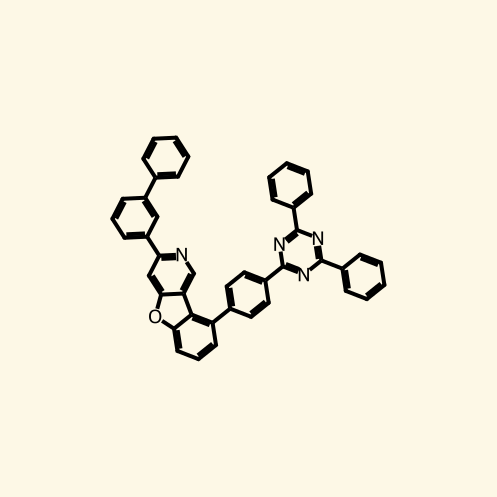 c1ccc(-c2cccc(-c3cc4oc5cccc(-c6ccc(-c7nc(-c8ccccc8)nc(-c8ccccc8)n7)cc6)c5c4cn3)c2)cc1